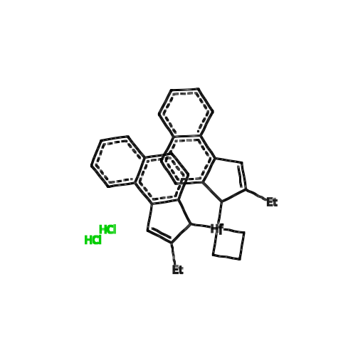 CCC1=Cc2c(ccc3ccccc23)[CH]1[Hf]1([CH]2C(CC)=Cc3c2ccc2ccccc32)[CH2]C[CH2]1.Cl.Cl